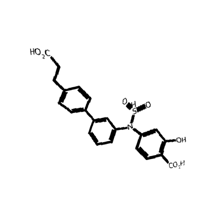 O=C(O)CCc1ccc(-c2cccc(N(c3ccc(C(=O)O)c(O)c3)[SH](=O)=O)c2)cc1